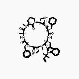 C=CC(C)(C)n1cc(C[C@@H]2NC(=O)[C@H](Cc3ccccc3)NC(=O)[C@H](CC(C)C)N3CCC[C@@H](C3=O)N(C)C(=O)[C@H](C)NC(=O)[C@H](Cc3ccccc3)NC(=O)[C@H](CC(C)C)N(C)C2=O)c2ccccc21